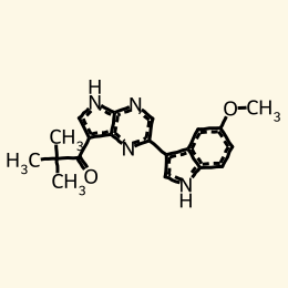 COc1ccc2[nH]cc(-c3cnc4[nH]cc(C(=O)C(C)(C)C)c4n3)c2c1